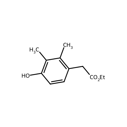 CCOC(=O)Cc1ccc(O)c(C)c1C